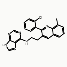 Cc1cccc2cc(CCNc3ncnc4[nH]cnc34)c(-c3ccccc3Cl)nc12